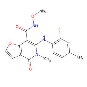 CCCCONC(=O)c1c(Nc2ccc(C)cc2F)n(C)c(=O)c2ccoc12